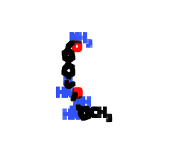 Cc1ccc2[nH]nc(NCC(=O)NC3CN(C4CCC(c5ccc(CC(N)=O)cc5)CC4)C3)c2c1